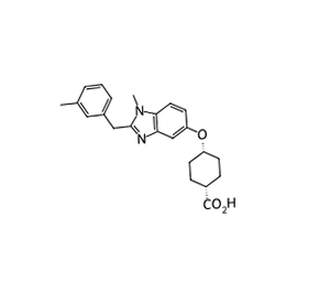 Cc1cccc(Cc2nc3cc(O[C@H]4CC[C@@H](C(=O)O)CC4)ccc3n2C)c1